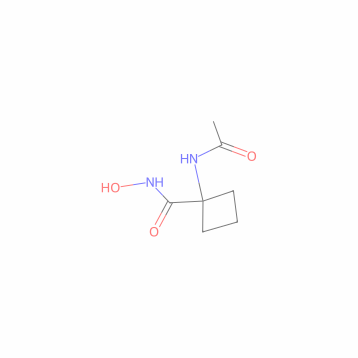 CC(=O)NC1(C(=O)NO)CCC1